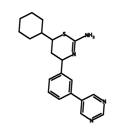 NC1=NC(c2cccc(-c3cncnc3)c2)CC(C2CCCCC2)S1